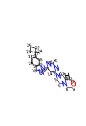 Cc1nc(N2CCN3CCOC[C@@H]3C2)cc(-n2ncc3ccc(C4(C)CCC4)cc32)n1